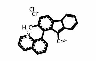 Cc1ccc2c(c1-c1cccc3cccnc13)[C]([Cr+2])=C1C=CC=CC12.[Cl-].[Cl-]